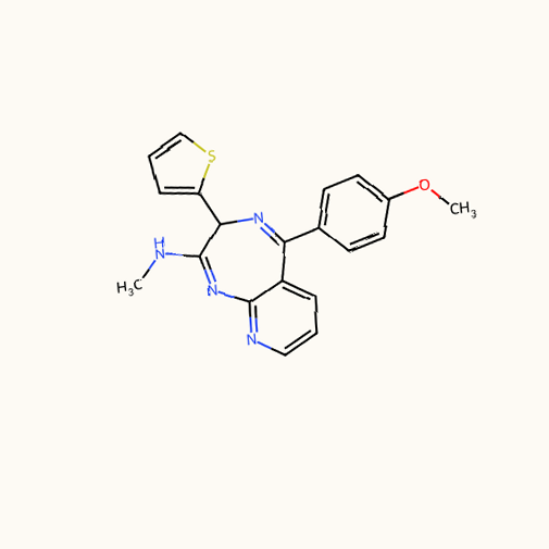 CNC1=Nc2ncccc2C(c2ccc(OC)cc2)=NC1c1cccs1